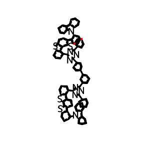 c1ccc(-c2nc(-c3cccc(-c4ccc(-c5nc(-c6ccccc6)nc(-c6cccc7sc8ccc9c(sc%10cccc(-n%11c%12ccccc%12c%12ccccc%12%11)c%109)c8c67)n5)cc4)c3)nc(-c3cccc4sc5c(ccc6c5sc5cccc(-n7c8ccccc8c8ccccc87)c56)c34)n2)cc1